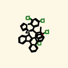 Cc1c(Cl)cc(Cl)cc1[C](c1cc(Cl)cc(Cl)c1C)=[Zr]([C]1=CC=CC1)[CH]1c2ccccc2-c2c1c1ccccc1c1ccccc21